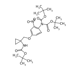 CC(C)(C)OC(=O)NC1(COc2ccc(N(C(=O)OC(C)(C)C)C(=O)OC(C)(C)C)c([N+](=O)[O-])c2)CC1